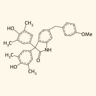 COc1ccc(Cc2ccc3c(c2)NC(=O)C3(c2cc(C)c(O)c(C)c2)c2cc(C)c(O)c(C)c2)cc1